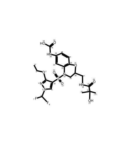 CCOc1nn(C(F)F)cc1S(=O)(=O)N1CC(CNC(=O)C(C)(C)O)Oc2ccc(NC(=O)O)cc21